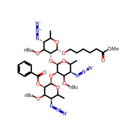 CCCCOC1[C@H](N=[N+]=[N-])C(C)O[C@H](O[C@@H]2C(OCCCC)[C@H](N=[N+]=[N-])C(C)O[C@@H]2O[C@@H]2C(OCCCC)[C@H](N=[N+]=[N-])C(C)O[C@@H]2OCCCCCC(=O)OC)[C@@H]1OC(=O)c1ccccc1